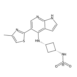 Cc1csc(-c2cnc3[nH]ccc3c2N[C@H]2C[C@@H](N[SH](=O)=O)C2)n1